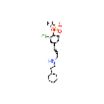 O=S(=O)(Oc1ccc(C#CCNCCC2CCCCC2)cc1Cl)C(F)(F)F